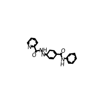 O=C(Nc1ccccc1)C1=CCC(=NNC(=O)c2ccccn2)C=C1